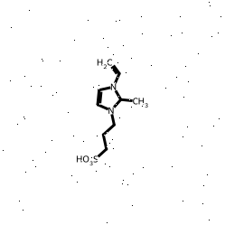 C=CN1C=CN(CCCS(=O)(=O)O)C1C